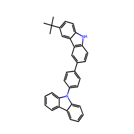 CC(C)(C)c1ccc2[nH]c3ccc(-c4ccc(-n5c6ccccc6c6ccccc65)cc4)cc3c2c1